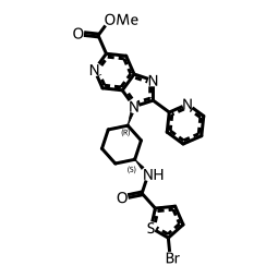 COC(=O)c1cc2nc(-c3ccccn3)n([C@@H]3CCC[C@H](NC(=O)c4ccc(Br)s4)C3)c2cn1